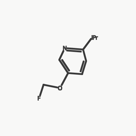 CC(C)c1ccc(OCF)cn1